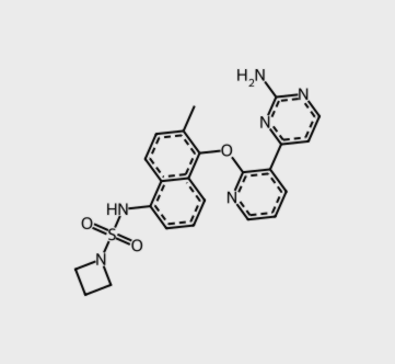 Cc1ccc2c(NS(=O)(=O)N3CCC3)cccc2c1Oc1ncccc1-c1ccnc(N)n1